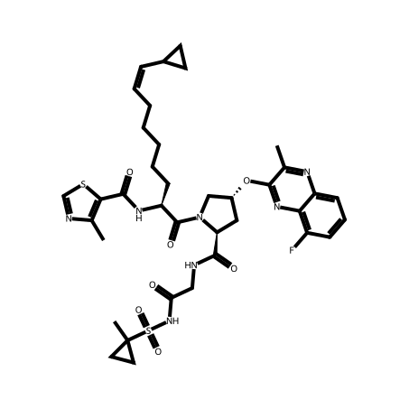 Cc1nc2cccc(F)c2nc1O[C@@H]1C[C@@H](C(=O)NCC(=O)NS(=O)(=O)C2(C)CC2)N(C(=O)[C@H](CCCCC/C=C\C2CC2)NC(=O)c2scnc2C)C1